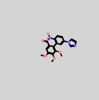 COc1cc(C=O)c(-c2cc(-n3ccnc3)ccc2[N+](=O)[O-])c(OC)c1OC